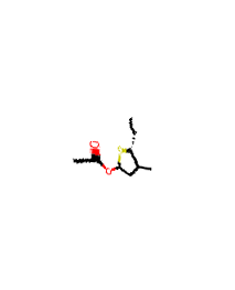 CC[C@H]1SC(OC(C)=O)CC1C